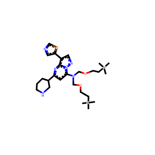 C[Si](C)(C)CCOCN(COCC[Si](C)(C)C)c1cc(C2CCCNC2)nc2c(-c3cncs3)cnn12